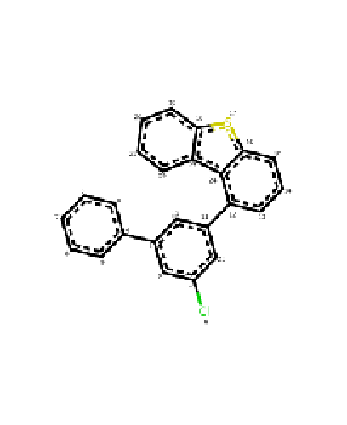 Clc1cc(-c2ccccc2)cc(-c2cccc3sc4ccccc4c23)c1